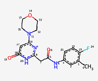 Cc1cc(NC(=O)Cc2nc(N3CCOCC3)cc(=O)[nH]2)ccc1F